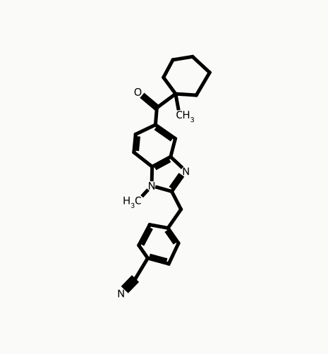 Cn1c(Cc2ccc(C#N)cc2)nc2cc(C(=O)C3(C)CCCCC3)ccc21